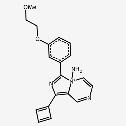 COCCOc1cccc(C2=NC(C3=CC=C3)=C3C=NC=C[N+]23N)c1